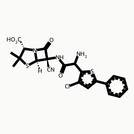 CC1(C)S[C@H]2N(C(=O)[C@]2(C#N)NC(=O)C(N)c2sc(-c3ccccc3)cc2Cl)[C@H]1C(=O)O